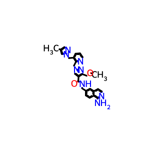 COCc1nn(Cc2ncccc2Cn2cc(C)cn2)cc1C(=O)NCc1ccc2c(N)nccc2c1